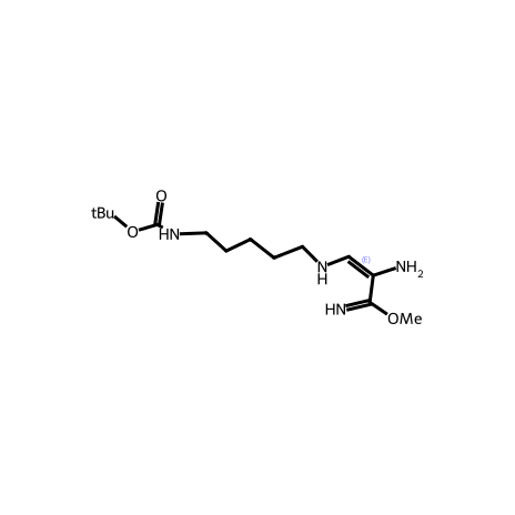 COC(=N)/C(N)=C\NCCCCCNC(=O)OC(C)(C)C